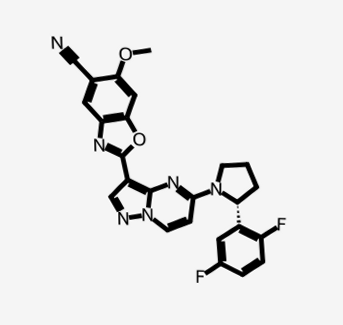 COc1cc2oc(-c3cnn4ccc(N5CCC[C@@H]5c5cc(F)ccc5F)nc34)nc2cc1C#N